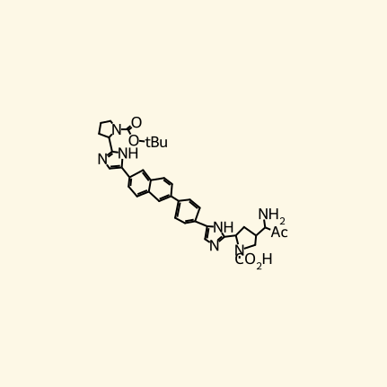 CC(=O)C(N)C1CC(c2ncc(-c3ccc(-c4ccc5cc(-c6cnc(C7CCCN7C(=O)OC(C)(C)C)[nH]6)ccc5c4)cc3)[nH]2)N(C(=O)O)C1